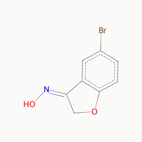 O/N=C1\COc2ccc(Br)cc21